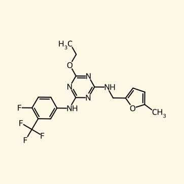 CCOc1nc(NCc2ccc(C)o2)nc(Nc2ccc(F)c(C(F)(F)F)c2)n1